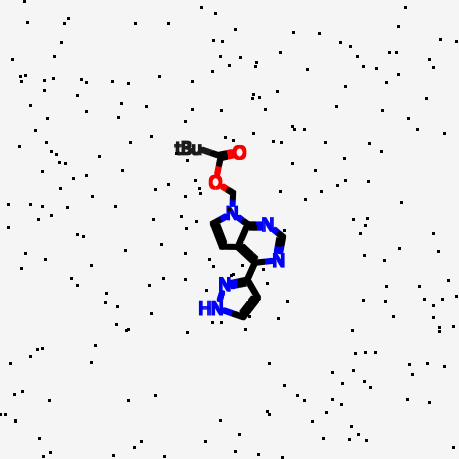 CC(C)(C)C(=O)OCn1ccc2c(-c3cc[nH]n3)ncnc21